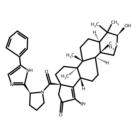 CC(C)C1=C2[C@H]3CC[C@@H]4[C@@]5(C)CC[C@H](O)C(C)(C)[C@@H]5CC[C@@]4(C)[C@]3(C)CC[C@@]2(C(=O)N2CCC[C@H]2c2ncc(-c3ccccc3)[nH]2)CC1=O